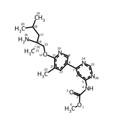 COC(=O)Nc1cc(-c2cnc(OC[C@@](C)(N)CC(C)C)c(C)c2)ncn1